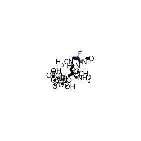 CO[C@@](CN)(CCN(C)/C=C(F)\C(N)=N/C=O)COP(=O)(O)OP(=O)(O)OP(=O)(O)O